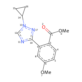 COC(=O)c1ccc(OC)cc1-c1ncn(C2CC2)n1